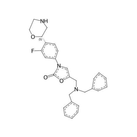 O=c1oc(CN(Cc2ccccc2)Cc2ccccc2)cn1-c1ccc([C@H]2CNCCO2)c(F)c1